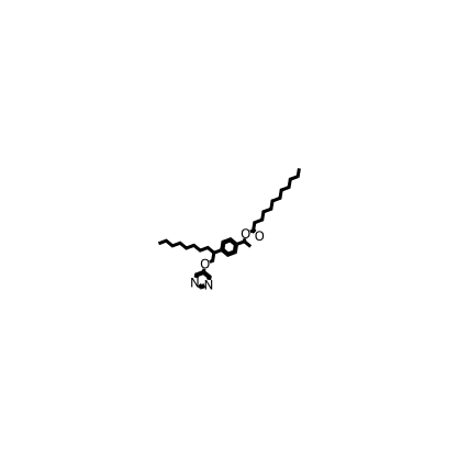 CCCCCCCCCCCC(=O)OC(C)c1ccc(C(CCCCCCCC)COc2cncnc2)cc1